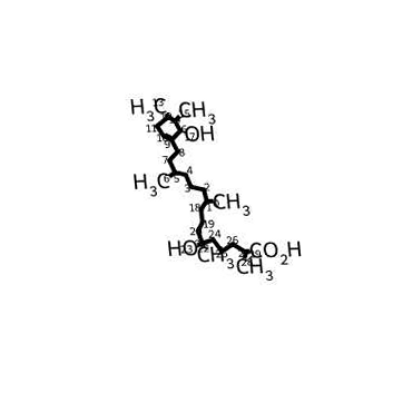 CC(CCCC(C)CCC1=CCC(C)C(C)[C@@H]1O)CCCC(C)(O)CCCC(C)C(=O)O